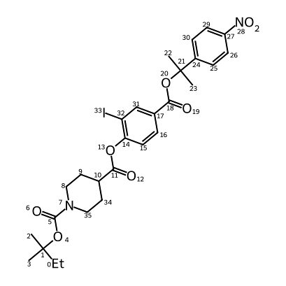 CCC(C)(C)OC(=O)N1CCC(C(=O)Oc2ccc(C(=O)OC(C)(C)c3ccc([N+](=O)[O-])cc3)cc2I)CC1